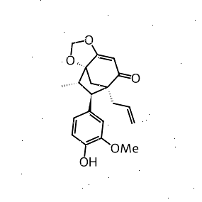 C=CC[C@]12C[C@@]3(OCOC3=CC1=O)[C@@H](C)[C@@H]2c1ccc(O)c(OC)c1